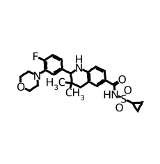 CC1(C)Cc2cc(C(=O)NS(=O)(=O)C3CC3)ccc2NC1c1ccc(F)c(N2CCOCC2)c1